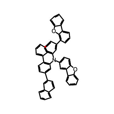 c1ccc(-c2ccc(-c3ccc4ccccc4c3)cc2N(c2cccc(-c3cccc4c3oc3ccccc34)c2)c2ccc3oc4ccccc4c3c2)cc1